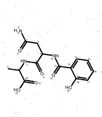 CC(NC(=O)C(CC(N)=O)NC(=O)c1ccccc1O)C(=O)O